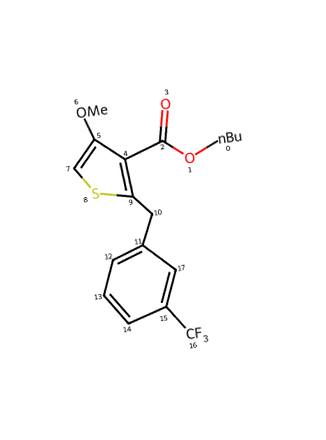 CCCCOC(=O)c1c(OC)csc1Cc1cccc(C(F)(F)F)c1